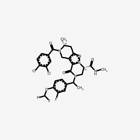 CNC(=O)[C@@H]1CN(C(C)c2ccc(OC(F)F)c(F)c2)C(=O)c2c3c(nn21)C[C@@H](C)N(C(=O)c1ccc(Cl)c(Cl)c1)C3